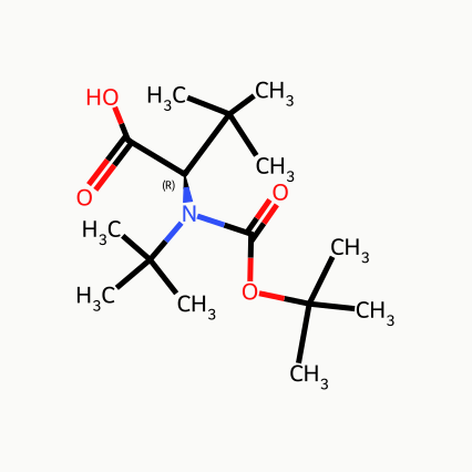 CC(C)(C)OC(=O)N([C@@H](C(=O)O)C(C)(C)C)C(C)(C)C